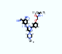 CC(C)NC(=O)COc1cccc(-c2nc(Nc3ccc(N)c(C=N)c3)cc(N3CCN(C)CC3)n2)c1